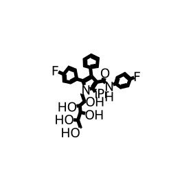 CC(C)c1c(C(=O)Nc2ccc(F)cc2)c(-c2ccccc2)c(-c2ccc(F)cc2)n1CC(O)C(O)C(O)C(O)CO